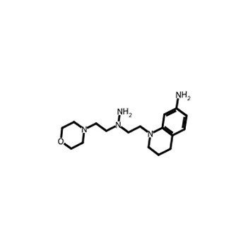 Nc1ccc2c(c1)N(CCN(N)CCN1CCOCC1)CCC2